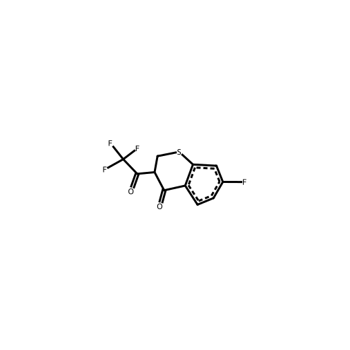 O=C1c2ccc(F)cc2SCC1C(=O)C(F)(F)F